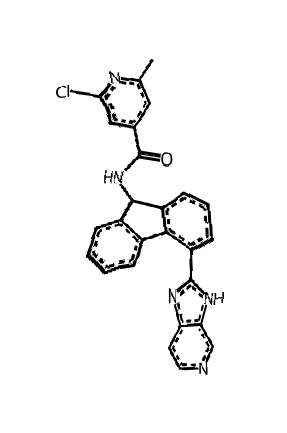 Cc1cc(C(=O)NC2c3ccccc3-c3c(-c4nc5ccncc5[nH]4)cccc32)cc(Cl)n1